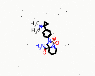 CN(C)C1(c2ccc(N3C[C@@]4(C(N)=O)[CH]CCCN4S3(=O)=O)cc2)CC1